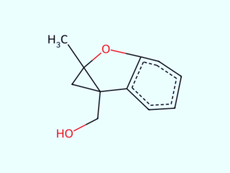 CC12CC1(CO)c1ccccc1O2